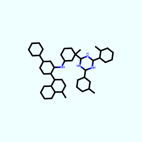 CC1CCCC(C2NC(C3CCCCC3C)NC(C3(C)CCCC(NC4CC(C5CCCCC5)CCC4C4CCC(C)C5CCCCC54)C3)N2)C1